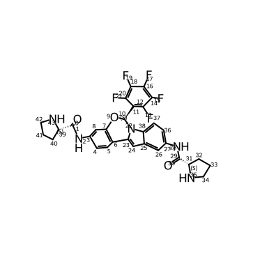 O=C(Nc1ccc2c(c1)O[C@@H](c1c(F)c(F)c(F)c(F)c1F)n1c-2cc2cc(NC(=O)[C@@H]3CCCN3)ccc21)[C@@H]1CCCN1